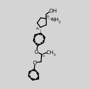 C[C@@H](COc1ccccc1)Oc1ccc([C@@H]2CC[C@@](N)(CO)C2)cc1